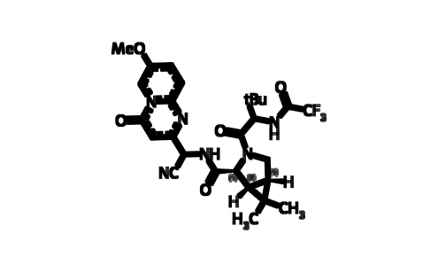 COc1ccc2nc(C(C#N)NC(=O)[C@@H]3[C@@H]4[C@H](CN3C(=O)C(NC(=O)C(F)(F)F)C(C)(C)C)C4(C)C)cc(=O)n2c1